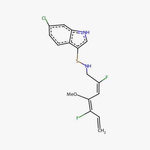 C=C/C(F)=C(\C=C(\F)CNSc1c[nH]c2cc(Cl)ccc12)OC